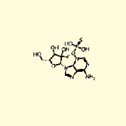 NC1=C2N=CN([C@@H]3O[C@H](CO)[C@@H](O)[C@]3(O)F)C2N(OP(O)(O)=S)C=N1